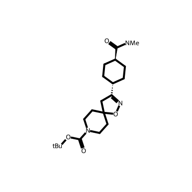 CNC(=O)[C@H]1CC[C@H](C2=NOC3(CCN(C(=O)OC(C)(C)C)CC3)C2)CC1